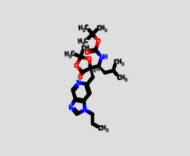 CCCn1cnc2cnc(C[C@]3([C@H](CC(C)C)NC(=O)OC(C)(C)C)OC(C)(C)OC3=O)cc21